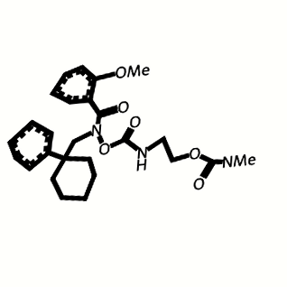 CNC(=O)OCCNC(=O)ON(CC1(c2ccccc2)CCCCC1)C(=O)c1ccccc1OC